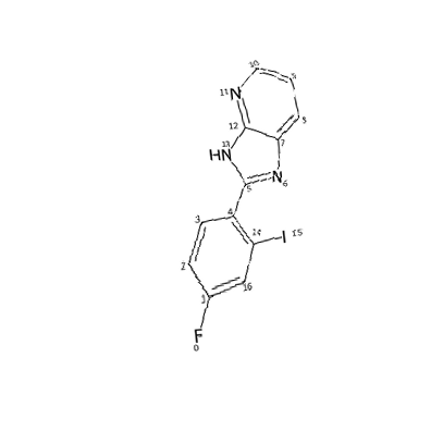 Fc1ccc(-c2nc3cccnc3[nH]2)c(I)c1